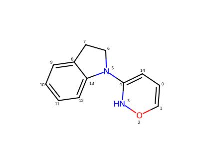 C1=CONC(N2CCc3ccccc32)=C1